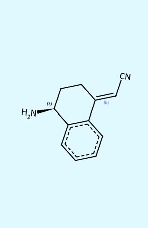 N#C/C=C1\CC[C@H](N)c2ccccc21